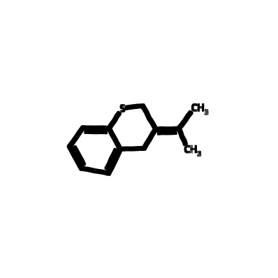 CC(C)=C1CSc2ccccc2C1